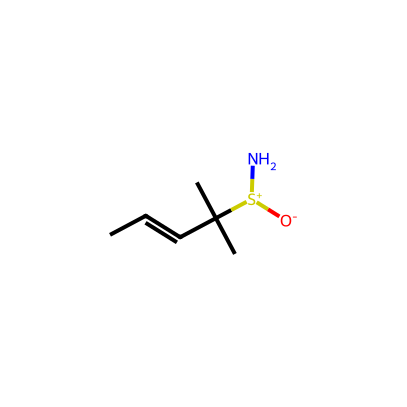 C/C=C/C(C)(C)[S+](N)[O-]